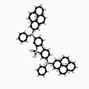 O=S1(=O)c2cc(N(c3ccccc3)c3cc4ccc5cccc6ccc(c3)c4c56)ccc2-c2ccc(N(c3ccccc3)c3cc4ccc5cccc6ccc(c3)c4c56)cc21